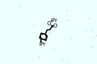 CC(C)OC(=O)CCc1ccc(C(C)C)cc1